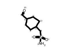 NS(=O)(=O)CC1CCC(C=O)CC1